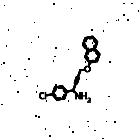 NC(C#CCOc1ccc2ccccc2c1)c1ccc(Cl)cc1